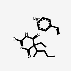 C=Cc1ccccc1.CCCC(C)C1(CC)C(=O)N=C([O-])NC1=O.[Na+]